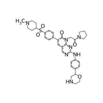 CN1CCC(S(=O)(=O)c2ccc(-c3cc4cnc(Nc5ccc(C6CNCCO6)cc5)nc4n(CC(=O)N4CCCC4)c3=O)cc2)CC1